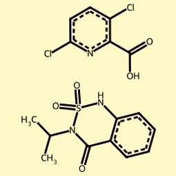 CC(C)N1C(=O)c2ccccc2NS1(=O)=O.O=C(O)c1nc(Cl)ccc1Cl